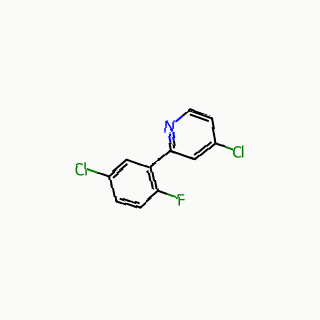 Fc1ccc(Cl)cc1-c1cc(Cl)ccn1